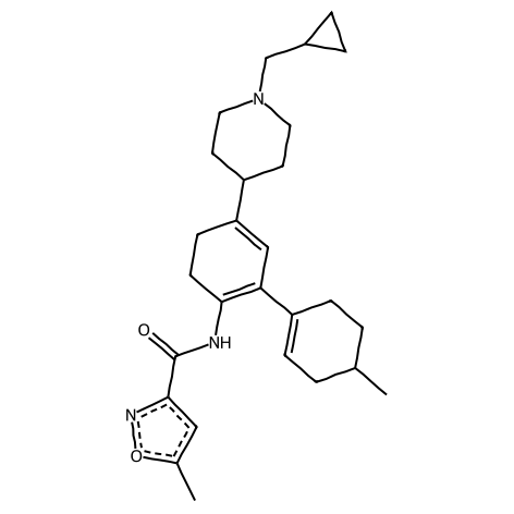 Cc1cc(C(=O)NC2=C(C3=CCC(C)CC3)C=C(C3CCN(CC4CC4)CC3)CC2)no1